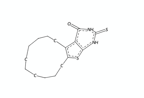 O=c1[nH]c(=S)[nH]c2sc3c(c12)CCCCCCCCCC3